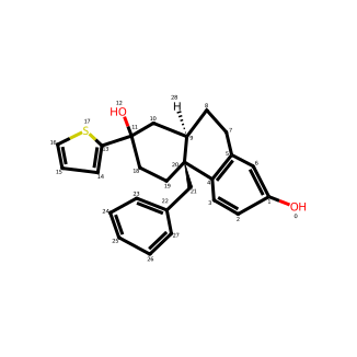 Oc1ccc2c(c1)CC[C@@H]1CC(O)(c3cccs3)CC[C@@]21Cc1ccccc1